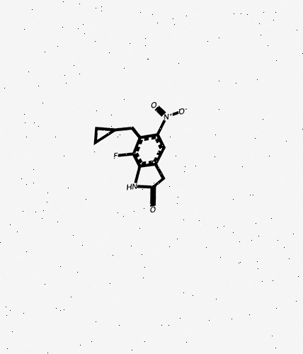 O=C1Cc2cc([N+](=O)[O-])c(CC3CC3)c(F)c2N1